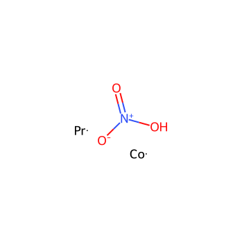 O=[N+]([O-])O.[Co].[Pr]